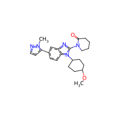 COC1CCC(n2c(N3CCCCC3=O)nc3cc(-c4ccnn4C)ccc32)CC1